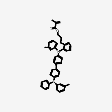 C=C(C)C(=O)OCCCc1ccccc1N(c1ccc(-c2ccc(N(c3ccccc3)c3cccc(C)c3)cc2)cc1)c1cccc(C)c1